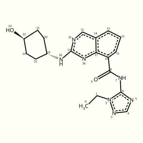 CCn1ncnc1NC(=O)c1cccc2cnc(N[C@H]3CC[C@H](O)CC3)nc12